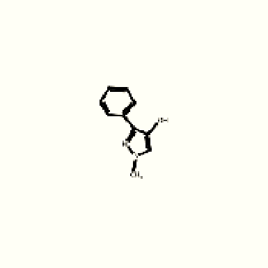 Cn1cc(O)c(-c2ccccc2)n1